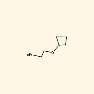 [CH2]CCCCON1CCC1